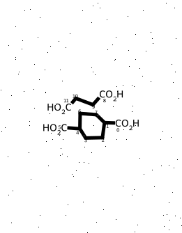 O=C(O)C1CCC(C(=O)O)CC1.O=C(O)CCC(=O)O